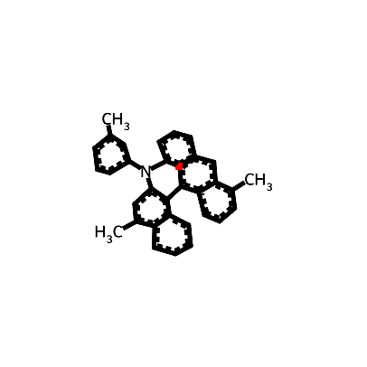 Cc1cccc(N(c2ccccc2)c2cc(C)c3ccccc3c2-c2cccc3c(C)cccc23)c1